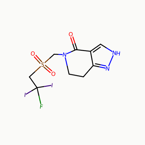 O=C1c2c[nH]nc2CCN1CS(=O)(=O)CC(F)(I)I